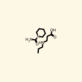 CCCNCCC(=O)O.NC(=O)N1CCCCC1